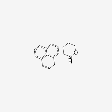 C1=Cc2cccc3cccc(c23)C1.C[SiH]1CCCCO1